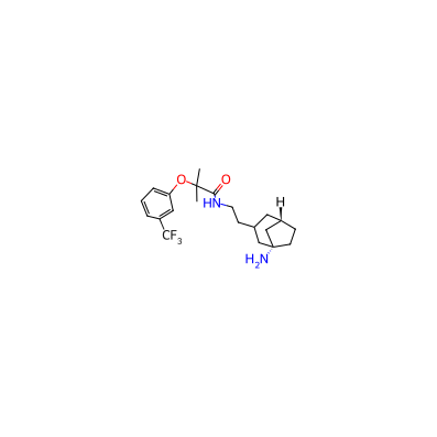 CC(C)(Oc1cccc(C(F)(F)F)c1)C(=O)NCCC1C[C@@H]2CC[C@@](N)(C1)C2